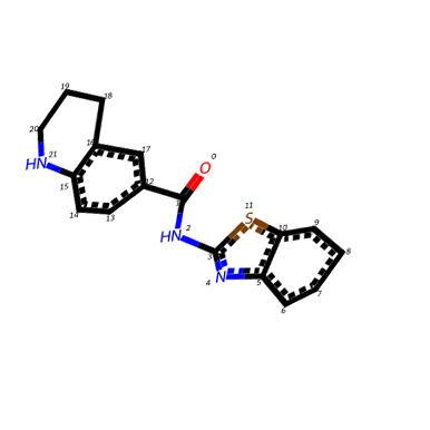 O=C(Nc1nc2ccccc2s1)c1ccc2c(c1)CCCN2